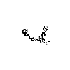 O=C(NC(CCN1CCC(CCc2ccc3c(n2)NCCC3)C1)C(=O)O)c1ccc(N2CCOCC2)cc1